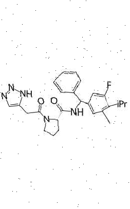 Cc1cc(C(NC(=O)[C@@H]2CCCN2C(=O)Cc2cnn[nH]2)c2ccccc2)cc(F)c1C(C)C